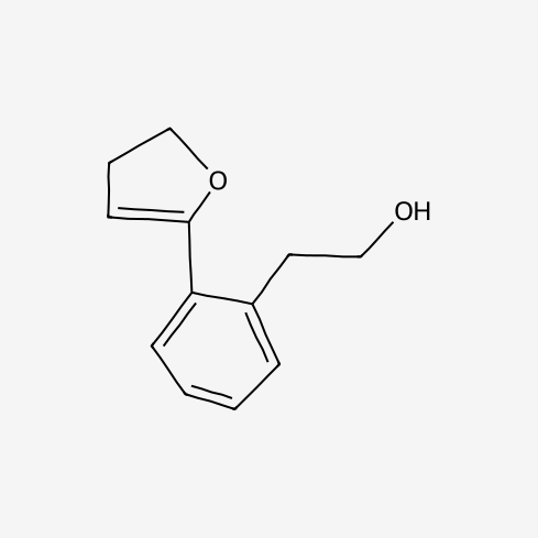 OCCc1ccccc1C1=CCCO1